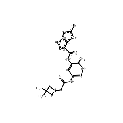 CC1NC=C(NC(=O)CN2CC(C)(C)C2)C=C1NC(=O)c1cnn2cc(Br)sc12